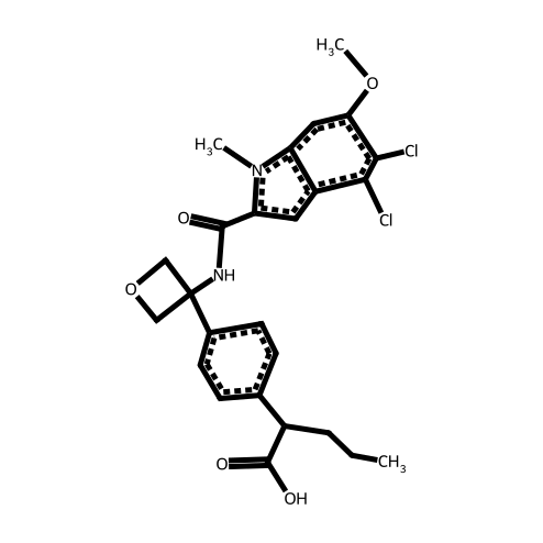 CCCC(C(=O)O)c1ccc(C2(NC(=O)c3cc4c(Cl)c(Cl)c(OC)cc4n3C)COC2)cc1